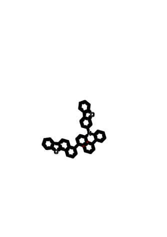 c1ccc(-c2ccccc2N(c2ccc(-c3cccc4c3ccc3c5ccccc5oc43)cc2)c2ccc3c(c2)oc2ccccc23)cc1